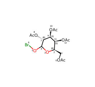 CC(=O)OC[C@H]1OC(OBr)[C@H](OC(C)=O)[C@@H](OC(C)=O)[C@H]1OC(C)=O